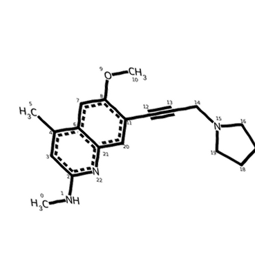 CNc1cc(C)c2cc(OC)c(C#CCN3CCCC3)cc2n1